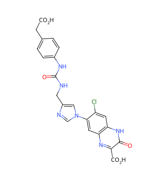 O=C(O)Cc1ccc(NC(=O)NCc2cn(-c3cc4nc(C(=O)O)c(=O)[nH]c4cc3Cl)cn2)cc1